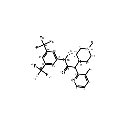 Cc1cccnc1C(C(=O)N(N)c1cc(C(F)(F)F)cc(C(F)(F)F)c1)N1CCN(C)CC1